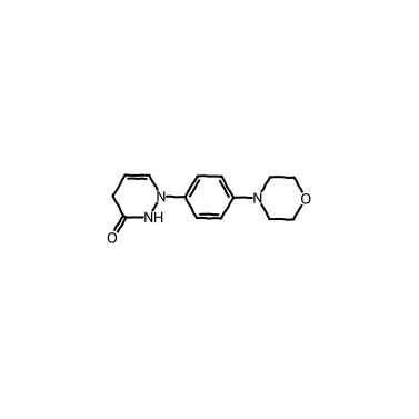 O=C1CC=CN(c2ccc(N3CCOCC3)cc2)N1